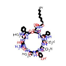 CC(C)CCCCCCCC[C@H]1O[C@@H]1C(=O)N[C@@H](CO)C(=O)N[C@@H]1C(=O)N[C@H](Cc2c[nH]c3ccccc23)C(=O)N[C@@H](CC(=O)O)C(=O)N[C@@H](CC(=O)O)C(=O)N[C@H](c2ccc(O)cc2)C(=O)N[C@@H](CC(=O)O)C(=O)NCC(=O)N[C@H]([C@H](O)C(N)=O)C(=O)N[C@H](CCC(=O)O)C(=O)N/C(=C\c2c[nH]c3ccccc23)C(=O)O[C@@H]1C